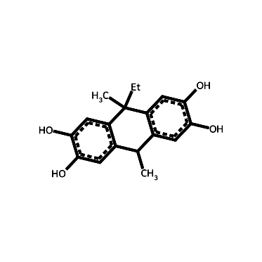 CCC1(C)c2cc(O)c(O)cc2C(C)c2cc(O)c(O)cc21